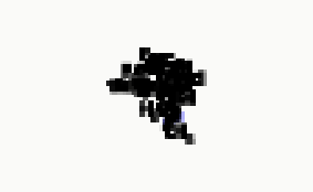 C=C(/C=C\C=C/C)[C@H](Nc1cc(Cl)c2ncc(C#N)c(Nc3ccc(F)c(C(F)(F)F)c3)c2c1)c1cn(C2CCN(C(C)(C)C)CC2)nn1